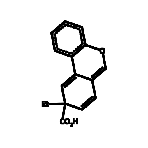 CCC1(C(=O)O)C=CC2=COc3ccccc3C2=C1